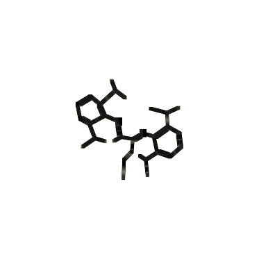 CCCC(=Nc1c(C(C)C)cccc1C(C)C)C(C)=Nc1c(C(C)C)cccc1C(C)C